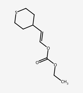 CCOC(=O)OC=CC1CCSCC1